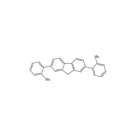 CC(C)(C)c1ccccc1-c1ccc2c(c1)Cc1cc(-c3ccccc3C(C)(C)C)ccc1-2